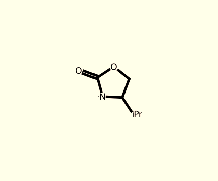 CC(C)C1COC(=O)[N]1